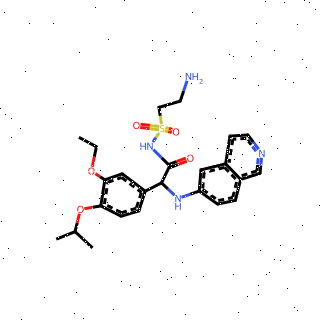 CCOc1cc(C(Nc2ccc3cnccc3c2)C(=O)NS(=O)(=O)CCN)ccc1OC(C)C